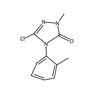 Cc1ccccc1-n1c(Cl)nn(C)c1=O